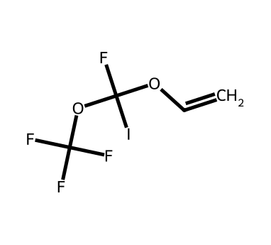 C=COC(F)(I)OC(F)(F)F